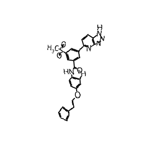 [2H]c1cc(OCCc2ccccc2)ccc1NC(=O)c1cc(-c2ccc3[nH]nnc3n2)cc(S(C)(=O)=O)c1